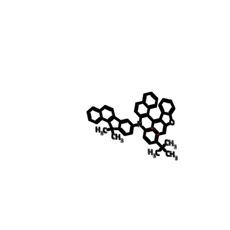 CC(C)(C)c1ccc(N(c2ccc3c(c2)-c2ccc4ccccc4c2C3(C)C)c2ccc3ccccc3c2-c2cccc3oc4ccccc4c23)cc1